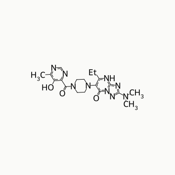 CCc1[nH]c2nc(N(C)C)nn2c(=O)c1N1CCN(C(=O)c2ncnc(C)c2O)CC1